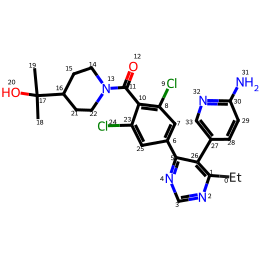 CCc1ncnc(-c2cc(Cl)c(C(=O)N3CCC(C(C)(C)O)CC3)c(Cl)c2)c1-c1ccc(N)nc1